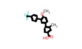 COc1ccc(-c2ccc(C(=O)O)cc2C)cc1-c1ccc(C(F)(F)F)cc1